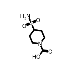 NS(=O)(=O)C1CCN(C(=O)O)CC1